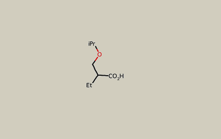 CCC(COC(C)C)C(=O)O